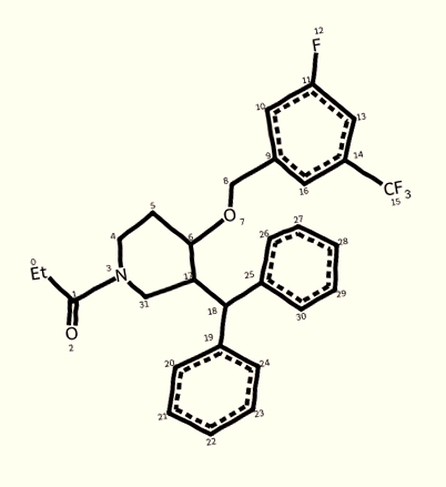 CCC(=O)N1CCC(OCc2cc(F)cc(C(F)(F)F)c2)C(C(c2ccccc2)c2ccccc2)C1